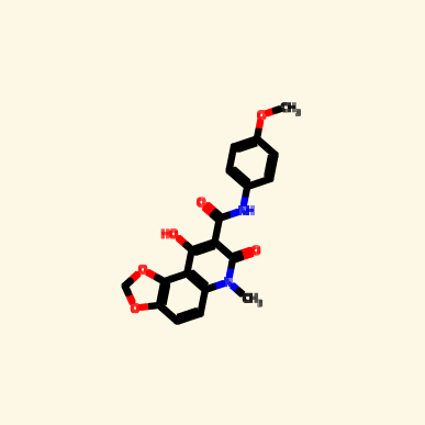 COc1ccc(NC(=O)c2c(O)c3c4c(ccc3n(C)c2=O)OCO4)cc1